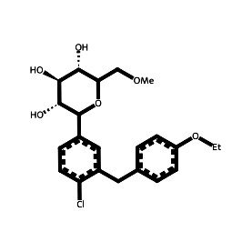 CCOc1ccc(Cc2cc(C3OC(COC)[C@@H](O)[C@H](O)[C@H]3O)ccc2Cl)cc1